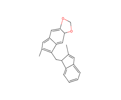 CC1=Cc2ccccc2C1CC1=C(C)C=C2C=C3OCOC3C=C21